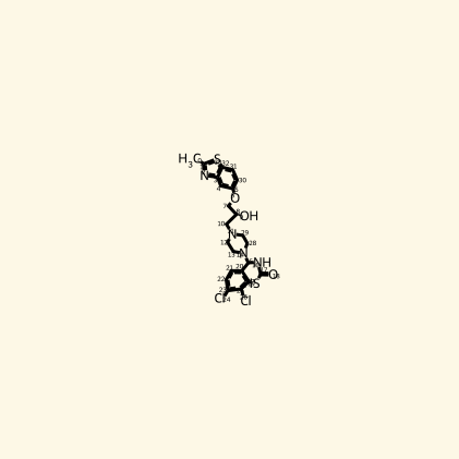 Cc1nc2cc(OC[C@H](O)CN3CCN(C(NC(=O)S)c4ccc(Cl)c(Cl)c4)CC3)ccc2s1